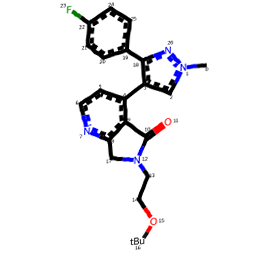 Cn1cc(-c2ccnc3c2C(=O)N(CCOC(C)(C)C)C3)c(-c2ccc(F)cc2)n1